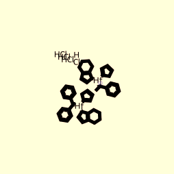 C/[C](c1ccccc1)=[Hf](/[C]1=CC=CC1)[CH]1C=CC2=C1CCCC2.C1=CC[C]([Hf](=[C](c2ccccc2)c2ccccc2)[CH]2C=CC3=C2CCCC3)=C1.Cl.Cl.Cl.Cl